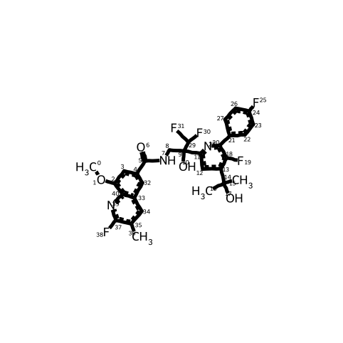 COc1cc(C(=O)NCC(O)(c2cc(C(C)(C)O)c(F)c(-c3ccc(F)cc3)n2)C(F)F)cc2cc(C)c(F)nc12